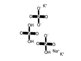 O=S(=O)(O)O.O=S(=O)([O-])O.O=S(=O)([O-])[O-].[K+].[K+].[Na+]